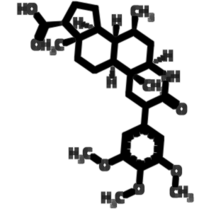 COc1cc(C2C[C@@]3(C)[C@@H](C[C@H](C)[C@@H]4[C@@H]3CC[C@]3(C)[C@@H](C(=O)O)CC[C@@H]43)NC2=O)cc(OC)c1OC